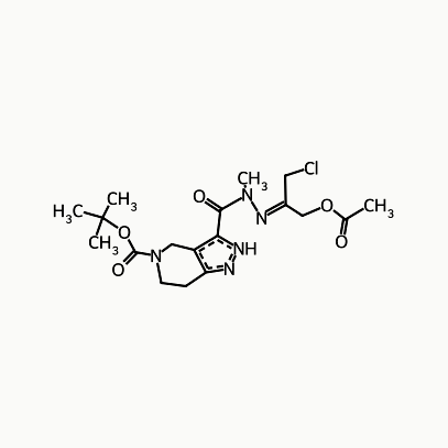 CC(=O)OC/C(CCl)=N/N(C)C(=O)c1[nH]nc2c1CN(C(=O)OC(C)(C)C)CC2